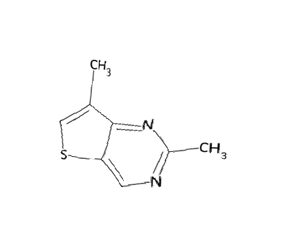 Cc1ncc2scc(C)c2n1